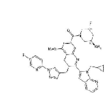 COc1cc(C(=O)N2C[C@H](N)C[C@@H](F)C2)cc2c1CC(Cc1cnn(-c3ccc(F)cn3)c1)C(c1cc3cccnc3n1CC1CC1)=N2